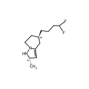 C[C@H]1C=C2C[C@H](CCCC(F)F)CCN2N1